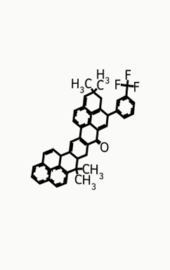 CC1(C)C=c2ccc3c4c2=C(C1)C(c1cccc(C(F)(F)F)c1)C=C4C(=O)C1=C3C=C2C3C=Cc4cccc5ccc(c3c45)C(C)(C)C2C1